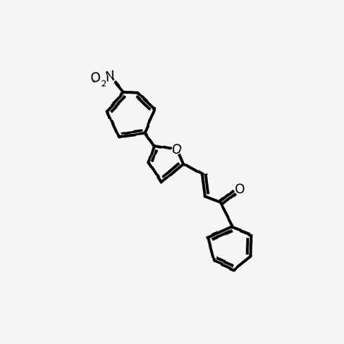 O=C(C=Cc1ccc(-c2ccc([N+](=O)[O-])cc2)o1)c1ccccc1